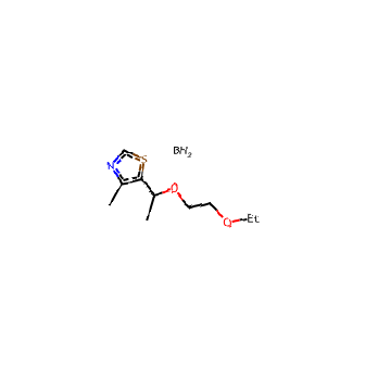 B.CCOCCOC(C)c1scnc1C